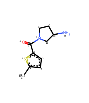 CC(C)(C)c1ccc(C(=O)N2CCC(N)C2)s1